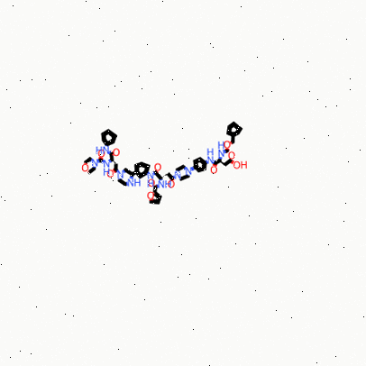 O=C(N[C@@H](CCO)C(=O)Nc1ccc(N2CCN(C(=O)C[C@H](NC(=O)c3ccco3)C(=O)Nc3cccc(C4CN(C(=O)C[C@H](NC(=O)N5CCOCC5)C(=O)Nc5ccccc5)CCN4)c3)CC2)cc1)OCc1ccccc1